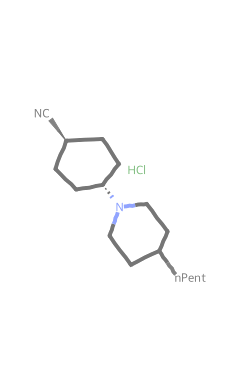 CCCCCC1CCN([C@H]2CC[C@H](C#N)CC2)CC1.Cl